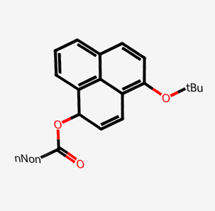 CCCCCCCCCC(=O)OC1C=Cc2c(OC(C)(C)C)ccc3cccc1c23